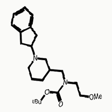 COCCN(CC1CCCN(C2Cc3ccccc3C2)C1)C(=O)OC(C)(C)C